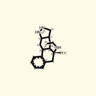 c1ccc2c(c1)C[C@H]1NCC[C@@]23CC2NNCC2CC13